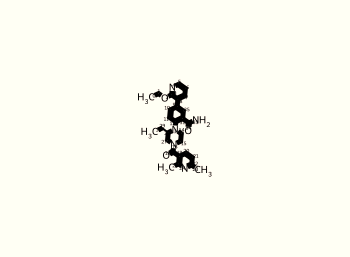 CCOc1ncccc1-c1ccc(N2CCN(C(=O)c3ccc(C)nc3C)C[C@H]2CC)c(C(N)=O)c1